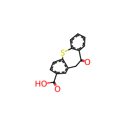 O=C(O)c1ccc2c(c1)CC(=O)c1ccccc1S2